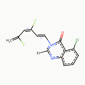 C=C(F)/C=C(F)\C=C\n1c(CC)nc2cccc(Cl)c2c1=O